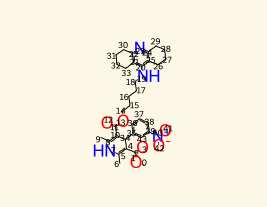 COC(=O)C1=C(C)NC(C)=C(C(=O)OCCCCCNc2c3c(nc4c2CCCC4)CCCC3)C1c1cccc([N+](=O)[O-])c1